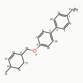 CCCc1ccc(-c2ccc(OCC3C=CC(C)CC3)cc2)cc1